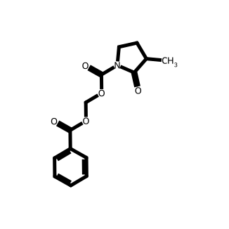 CC1CCN(C(=O)OCOC(=O)c2ccccc2)C1=O